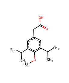 COc1c(C(C)C)cc(CC(=O)O)cc1C(C)C